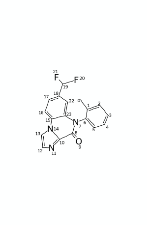 Cc1ccccc1-n1c(=O)c2nccn2c2ccc(C(F)F)cc21